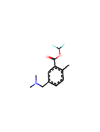 Cc1ccc(CN(C)C)cc1C(=O)OC(F)F